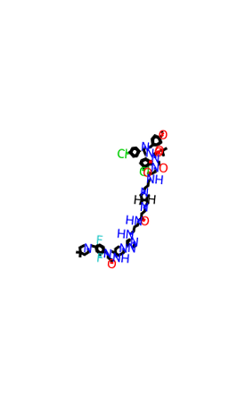 COc1ccc(C2=N[C@@H](c3ccc(Cl)cc3)[C@@H](c3ccc(Cl)cc3)N2C(=O)N2CCN(CC(=O)NCCCN3C[C@@H]4CN(CCC(=O)NCCCNc5cc(N6CCC7(CC6)CN(c6cc(F)c(CN8CCC(C)(C)CC8)cc6F)CC(=O)N7)ncn5)C[C@@H]4C3)C(=O)C2)c(OC(C)C)c1